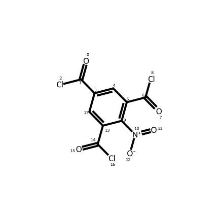 O=C(Cl)c1cc(C(=O)Cl)c([N+](=O)[O-])c(C(=O)Cl)c1